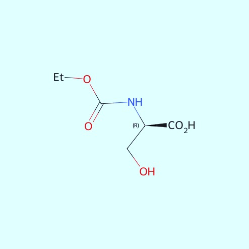 CCOC(=O)N[C@H](CO)C(=O)O